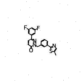 Cc1cnc(-c2cccc(Cn3nc(-c4cc(F)cc(F)c4)ccc3=O)c2)s1